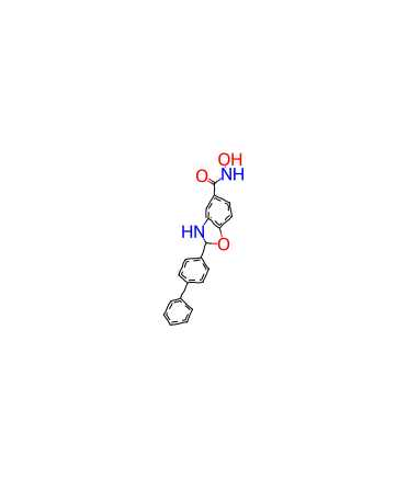 O=C(NO)c1ccc2c(c1)NC(c1ccc(-c3ccccc3)cc1)O2